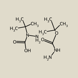 CC(C)(C)N(N)C(=O)O.CC(C)(C)OC(=O)NN